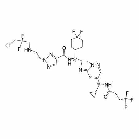 O=C(CCC(F)(F)F)N[C@@H](c1cnn2cc([C@@H](NC(=O)c3cnn(CCNCC(F)(F)CCl)n3)C3CCC(F)(F)CC3)nc2c1)C1CC1